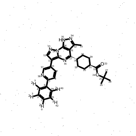 [2H]c1c([2H])c([2H])c(-c2ccc(-c3cnn4c3nc([C@H]3CC[C@H](C(=O)OC(C)(C)C)CC3)c3c(C)n[nH]c34)cn2)c([2H])c1[2H]